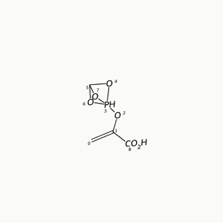 C=C(O[PH]12OC(O1)O2)C(=O)O